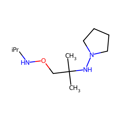 CC(C)NOCC(C)(C)NN1CCCC1